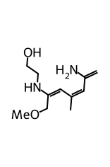 C=C(N)/C=C(C)\C=C(/COC)NCCO